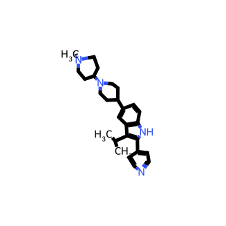 CC(C)c1c(-c2ccncc2)[nH]c2ccc(C3CCN(C4CCN(C)CC4)CC3)cc12